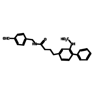 O=Cc1ccc(CNC(=O)CCCc2ccc(-c3ccccc3)c(NC(=O)O)c2)cc1